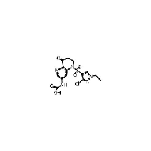 CCn1cc(S(=O)(=O)N2CCC(=O)c3ncc(NC(=O)O)cc32)c(Cl)n1